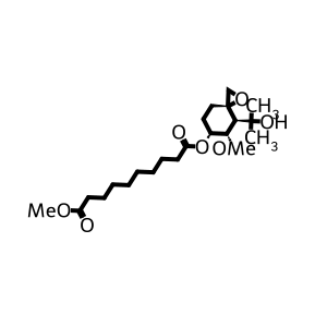 COC(=O)CCCCCCCCC(=O)O[C@@H]1CC[C@]2(CO2)[C@@H](C(C)(C)O)[C@@H]1OC